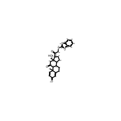 CC12C=CC(=O)C=C1CCC1C2C(=O)CC2(C)C1CC[C@]2(O)C(=O)CSc1nc2ccccc2s1